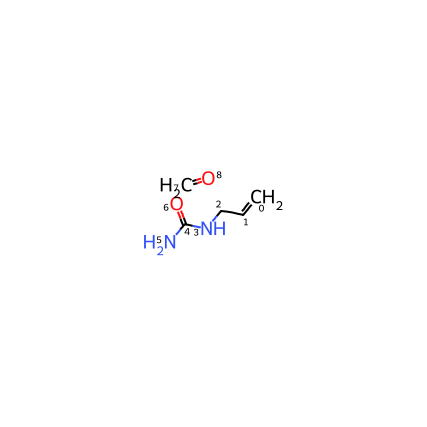 C=CCNC(N)=O.C=O